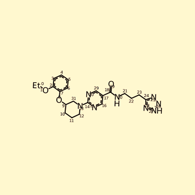 CCOc1ccccc1OC1CCCN(c2ncc(C(=O)NCCCc3nn[nH]n3)cn2)C1